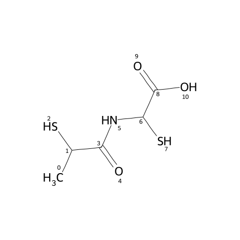 CC(S)C(=O)NC(S)C(=O)O